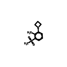 Cc1c(N2CCC2)cccc1S(C)(=O)=O